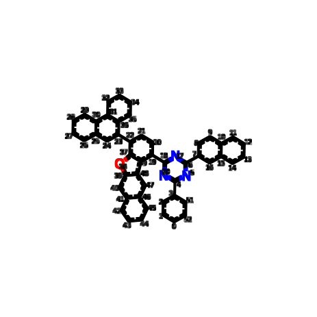 c1ccc(-c2nc(-c3ccc4ccccc4c3)nc(-c3ccc(-c4cc5ccccc5c5ccccc45)c4oc5cc6ccccc6cc5c34)n2)cc1